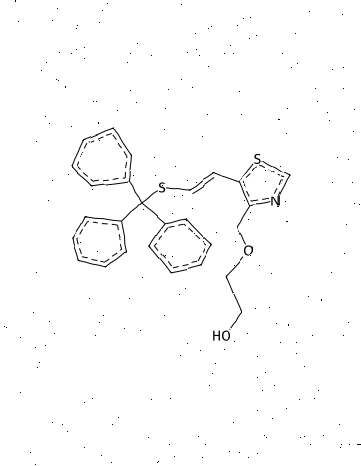 OCCOCc1ncsc1C=CSC(c1ccccc1)(c1ccccc1)c1ccccc1